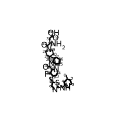 Cc1ccnc(Nc2ncc(Sc3ccnc(C(=O)NCC4(c5ccccc5)CCN(C(=O)C(N)CC(=O)O)CC4)c3F)s2)c1